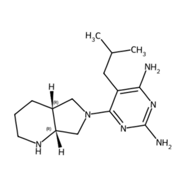 CC(C)Cc1c(N)nc(N)nc1N1C[C@H]2CCCN[C@H]2C1